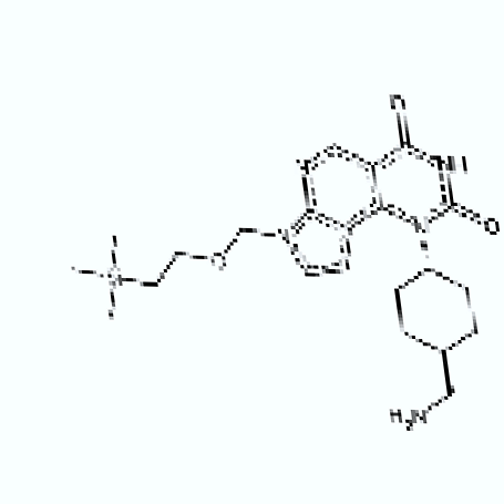 C[Si](C)(C)CCOCn1ccc2c1ncc1c(=O)[nH]c(=O)n([C@H]3CC[C@H](CN)CC3)c12